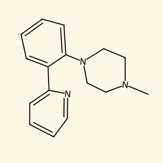 CN1CCN(c2cc[c]cc2-c2ccccn2)CC1